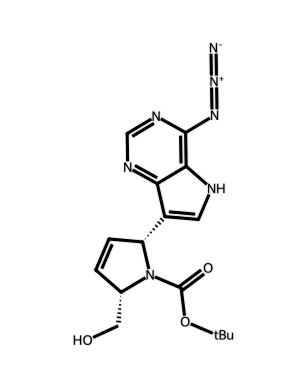 CC(C)(C)OC(=O)N1[C@@H](c2c[nH]c3c(N=[N+]=[N-])ncnc23)C=C[C@H]1CO